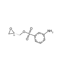 Nc1cccc(S(=O)(=O)OC[C@@H]2CO2)c1